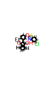 CCc1ccc(Oc2nc3cc(Cl)ccc3s2)cc1C1=C(O)C2C(C1=O)[C@H]1CC[C@@H]2CC1